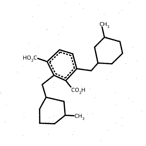 CC1CCCC(Cc2ccc(C(=O)O)c(CC3CCCC(C)C3)c2C(=O)O)C1